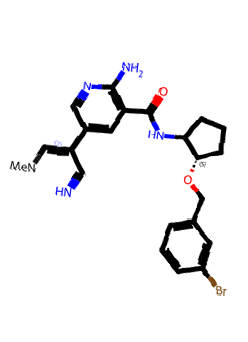 CN/C=C(\C=N)c1cnc(N)c(C(=O)NC2CCC[C@@H]2OCc2cccc(Br)c2)c1